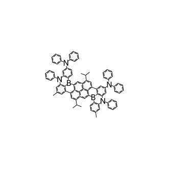 Cc1ccc2c(c1)N(c1ccccc1)c1cc(N(c3ccccc3)c3ccccc3)cc3c1B2c1cc2c(C(C)C)cc4c5c(cc6c(C(C)C)cc-3c1c6c25)B1c2ccc(N(c3ccccc3)c3ccccc3)cc2N(c2ccccc2)c2cc(C)cc-4c21